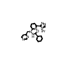 CC(C)n1cnnc1-c1cccc(N(Cc2ccncn2)NC(=O)c2ccccc2)n1